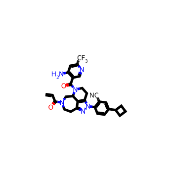 C=CC(=O)N1CCc2nn(-c3ccc(C4CCC4)cc3C#N)c3c2C(C1)N(C(=O)c1cnc(C(F)(F)F)cc1N)CC3